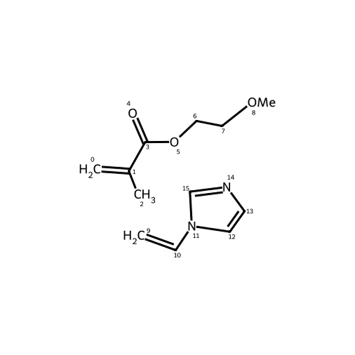 C=C(C)C(=O)OCCOC.C=Cn1ccnc1